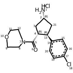 Cl.N[C@H]1C[C@@H](C(=O)N2CCOCC2)[C@H](c2ccc(Cl)cc2)C1